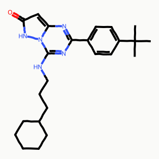 CC(C)(C)c1ccc(-c2nc(NCCCC3CCCCC3)n3[nH]c(=O)cc3n2)cc1